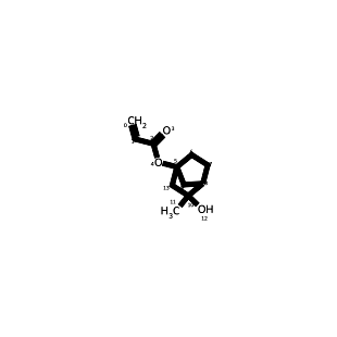 C=CC(=O)OC12CCC(C1)C(C)(O)C2